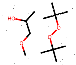 CC(C)(C)OOC(C)(C)C.COCC(C)O